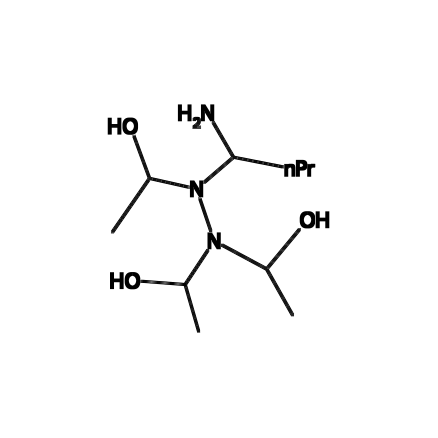 CCCC(N)N(C(C)O)N(C(C)O)C(C)O